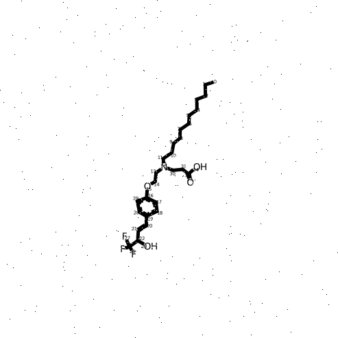 CCCCCCCCCCCCN(CCOc1ccc(C=CC(O)C(F)(F)F)cc1)CCC(=O)O